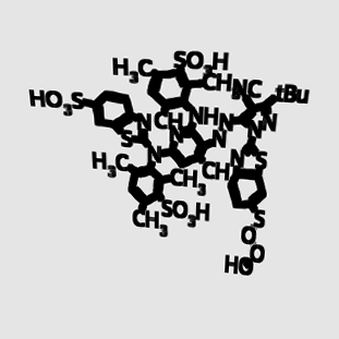 Cc1cc(N(c2nc3ccc(S(=O)(=O)O)cc3s2)c2c(C)cc(C)c(S(=O)(=O)O)c2C)nc(Nc2c(C)cc(C)c(S(=O)(=O)O)c2C)c1/N=N/c1c(C#N)c(C(C)(C)C)nn1-c1nc2ccc(SOOO)cc2s1